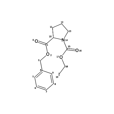 O=C(OCc1ccccc1)C1CCCN1C(=O)OCI